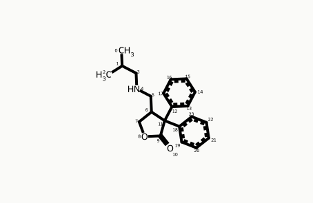 CC(C)CNCC1COC(=O)C1(c1ccccc1)c1ccccc1